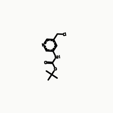 CC(C)(C)OC(=O)Nc1cncc(CCl)c1